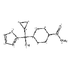 COC(=O)C1CCC(C(O)(c2nccs2)C2CC2)CC1